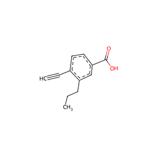 C#Cc1ccc(C(=O)O)cc1CCC